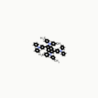 Cc1ccc(N(c2ccc(C)cc2)c2cc(-c3ccc(N(c4ccccc4)c4ccccc4)cc3)c3ccc4c(N(c5ccc(C)cc5)c5ccc(C)cc5)cc(-c5ccc(N(c6ccccc6)c6ccccc6)cc5)c5ccc2c3c54)cc1